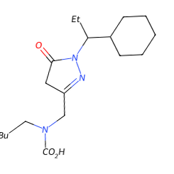 CCC(C1CCCCC1)N1N=C(CN(CC(C)(C)C)C(=O)O)CC1=O